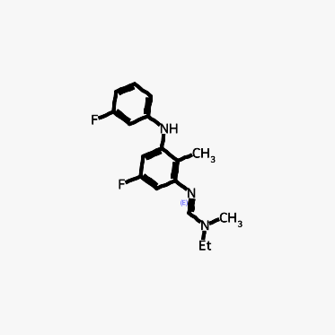 CCN(C)/C=N/c1cc(F)cc(Nc2cccc(F)c2)c1C